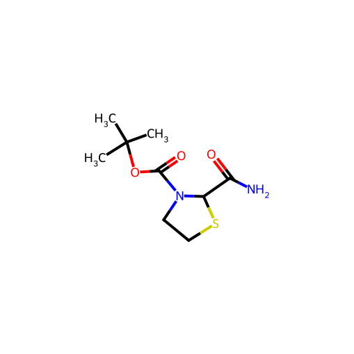 CC(C)(C)OC(=O)N1CCSC1C(N)=O